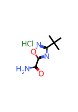 CC(C)(C)c1noc(C(N)=O)n1.Cl